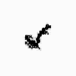 Cc1ncsc1-c1ccc([C@H](C)NC(=O)C2CCCN2C(=O)C(C(C)C)n2cc(-c3ccnc(OC4CN(c5ccc(C(=O)N[C@@H](C)Cn6ccc(-c7ccc(C#N)c(Cl)c7)n6)cn5)C4)c3)cn2)cc1